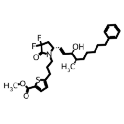 COC(=O)c1ccc(CCCN2C(=O)C(F)(F)C[C@@H]2C=C[C@@H](O)[C@H](C)CCCCCc2ccccc2)s1